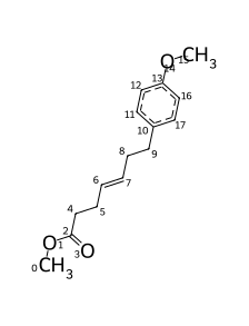 COC(=O)CCC=CCCc1ccc(OC)cc1